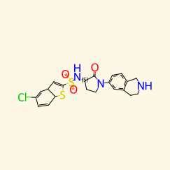 O=C1[C@@H](NS(=O)(=O)C2=CC3C=C(Cl)C=CC3S2)CCN1c1ccc2c(c1)CCNC2